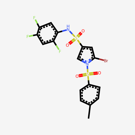 Cc1ccc(S(=O)(=O)n2cc(S(=O)(=O)Nc3cc(F)c(F)cc3F)cc2Br)cc1